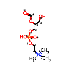 C[N+](C)(C)CCOP(=O)(O)OC[C@@H](CO)OC=O